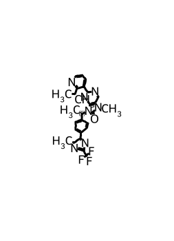 CC1N=C(C(F)(F)F)N=C1c1ccc([C@H](C)n2c(=O)n(C)c3cnc(-c4cccnc4C(C)C)nc32)cc1